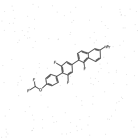 CCCc1ccc2c(F)c(-c3cc(F)c(-c4ccc(OC(F)F)cc4)c(F)c3)ccc2c1